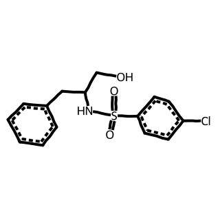 O=S(=O)(NC(CO)Cc1ccccc1)c1ccc(Cl)cc1